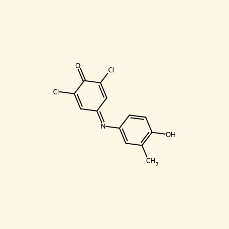 Cc1cc(N=C2C=C(Cl)C(=O)C(Cl)=C2)ccc1O